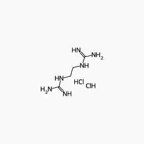 Cl.Cl.N=C(N)NCCNC(=N)N